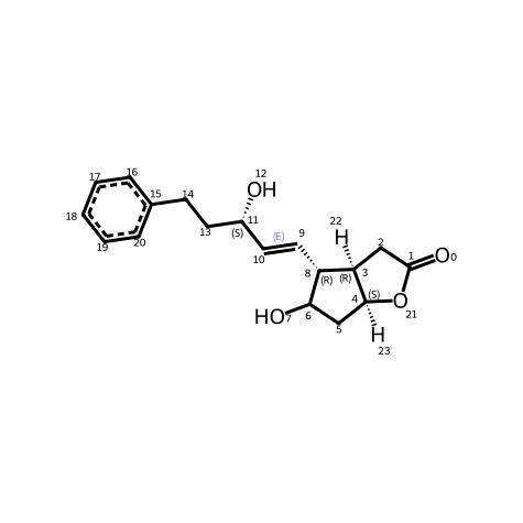 O=C1C[C@H]2[C@H](CC(O)[C@@H]2/C=C/[C@@H](O)CCc2ccccc2)O1